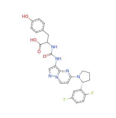 O=C(Nc1cnn2ccc(N3CCC[C@@H]3c3cc(F)ccc3F)nc12)NC(Cc1ccc(O)cc1)C(=O)O